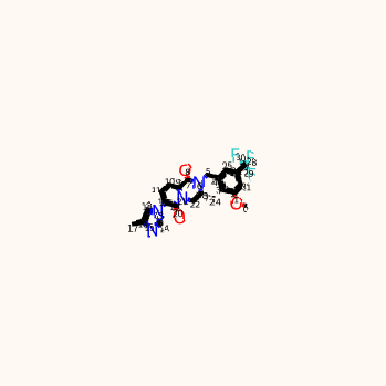 COc1cc(CN2C(=O)c3ccc(-n4cnc(C)c4)c(=O)n3C[C@H]2C)cc(C(F)(F)F)c1